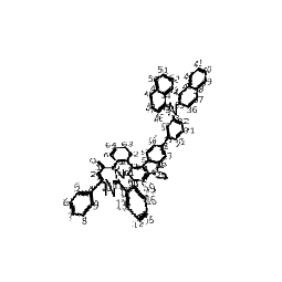 C=C1C=C(c2ccccc2)N=C(c2ccccc2)N=C1C1=C(C2=c3c(sc4cc(-c5cccc(N(c6ccc7ccccc7c6)c6cccc7ccccc67)c5)ccc34)=CCC2)CCC=C1